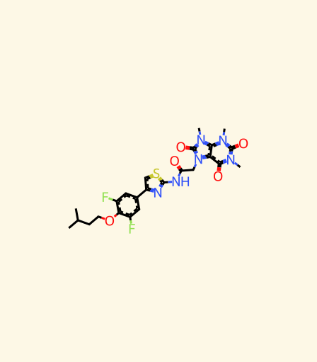 CC(C)CCOc1c(F)cc(-c2csc(NC(=O)Cn3c(=O)n(C)c4c3c(=O)n(C)c(=O)n4C)n2)cc1F